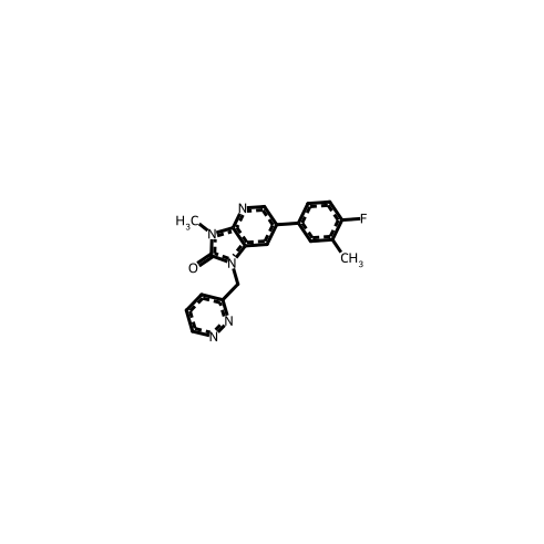 Cc1cc(-c2cnc3c(c2)n(Cc2cccnn2)c(=O)n3C)ccc1F